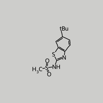 CC(C)(C)c1ccc2nc(NS(C)(=O)=O)sc2c1